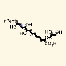 CCCCCC(O)/C=C/C(O)C(O)CCCCCCC(OCC(O)CO)C(=O)O